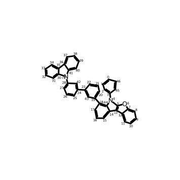 c1ccc(-n2c3oc4ccccc4c3c3cccc(-c4cccc(-c5cccc(-n6c7ccccc7c7ccccc76)c5)c4)c32)cc1